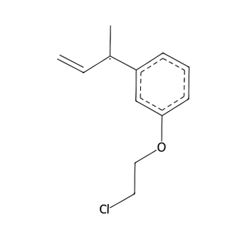 C=C[C](C)c1cccc(OCCCl)c1